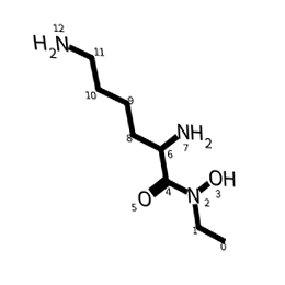 CCN(O)C(=O)C(N)CCCCN